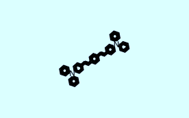 C1=CCC(N(c2ccccc2)c2ccc(/C=C/c3ccc(/C=C/C4=CC=C(N(c5ccccc5)c5ccccc5)CC4)cc3)cc2)C=C1